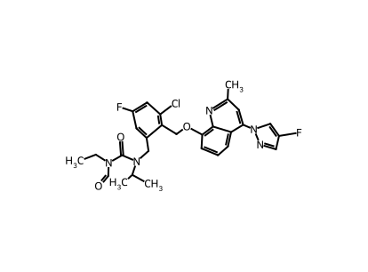 CCN(C=O)C(=O)N(Cc1cc(F)cc(Cl)c1COc1cccc2c(-n3cc(F)cn3)cc(C)nc12)C(C)C